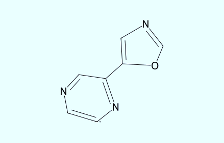 [c]1cncc(-c2cnco2)n1